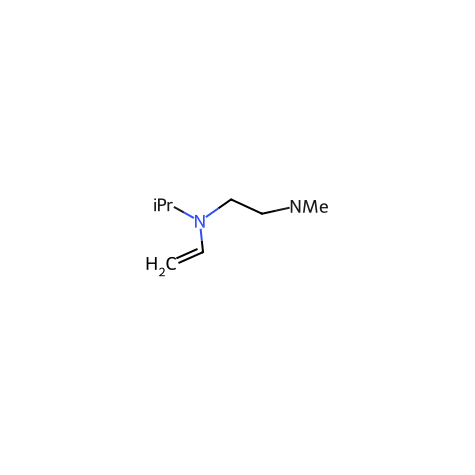 C=CN(CCNC)C(C)C